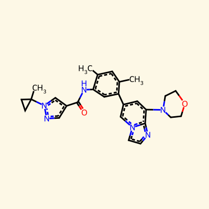 Cc1cc(C)c(-c2cc(N3CCOCC3)c3nccn3c2)cc1NC(=O)c1cnn(C2(C)CC2)c1